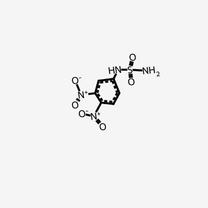 NS(=O)(=O)Nc1ccc([N+](=O)[O-])c([N+](=O)[O-])c1